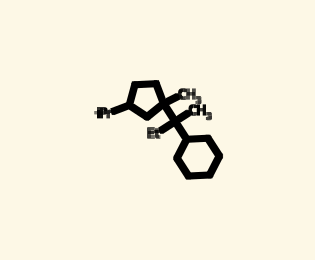 CCC(C)(C1CCCCC1)C1(C)CCC([C](C)C)C1